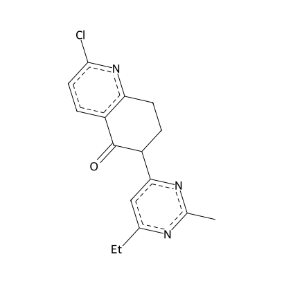 CCc1cc(C2CCc3nc(Cl)ccc3C2=O)nc(C)n1